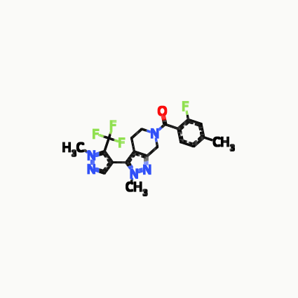 Cc1ccc(C(=O)N2CCc3c(nn(C)c3-c3cnn(C)c3C(F)(F)F)C2)c(F)c1